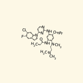 C=CC(=O)Nc1cc(Nc2nccc(-n3ccc4cc(F)c(Cl)cc43)n2)c(OCCC)cc1N(C)CCN(C)C